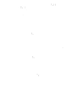 Cl.NC(=O)c1cc(N)ccc1NCCN1CCN(c2ccccc2)CC1